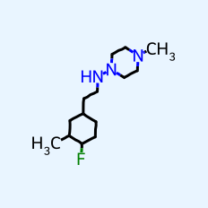 CC1CC(CCNN2CCN(C)CC2)CCC1F